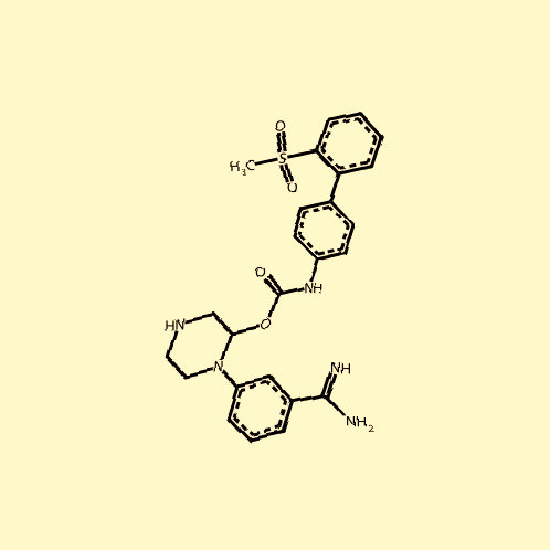 CS(=O)(=O)c1ccccc1-c1ccc(NC(=O)OC2CNCCN2c2cccc(C(=N)N)c2)cc1